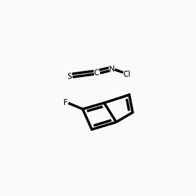 Fc1cc2ccc1-2.S=C=NCl